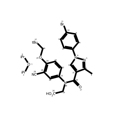 CC(C)OC(C)C.Cc1nn(-c2ccc(Br)cc2)cc1C(=O)N(CC(=O)O)c1ccc(OCC(C)(C)C)c(C#N)c1